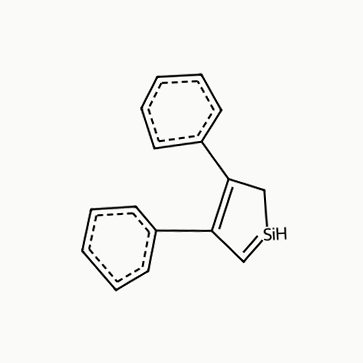 C1=[SiH]CC(c2ccccc2)=C1c1ccccc1